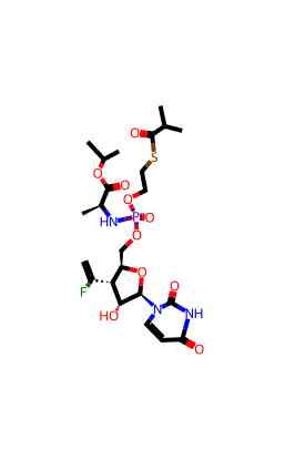 C=C(F)[C@H]1[C@@H](O)[C@H](n2ccc(=O)[nH]c2=O)O[C@@H]1COP(=O)(N[C@@H](C)C(=O)OC(C)C)OCCSC(=O)C(C)C